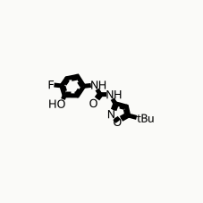 CC(C)(C)c1cc(NC(=O)Nc2ccc(F)c(O)c2)no1